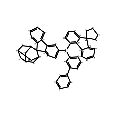 c1ccc(-c2cccc(N(c3ccc4c(c3)-c3ccccc3C43C4CC5CC(C4)CC3C5)c3cccc4c3-c3ccccc3C43CCCC3)c2)cc1